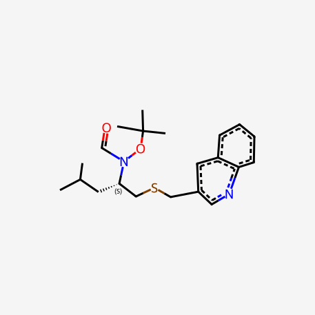 CC(C)C[C@@H](CSCc1cnc2ccccc2c1)N(C=O)OC(C)(C)C